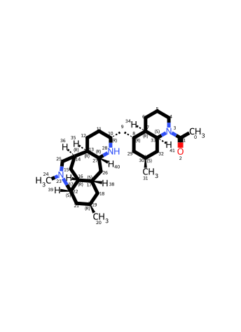 CC(=O)N1CCC[C@@H]2[C@@H](C[C@H]3CC[C@@H]4[C@H]5C[C@@H]6[C@@H](C[C@@H](C)C[C@@H]6N(C)C5)C[C@H]4N3)C[C@H](C)C[C@@H]21